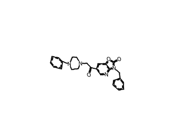 O=C(CN1CCN(c2ccccc2)CC1)c1cnc2c(c1)oc(=O)n2Cc1ccccc1